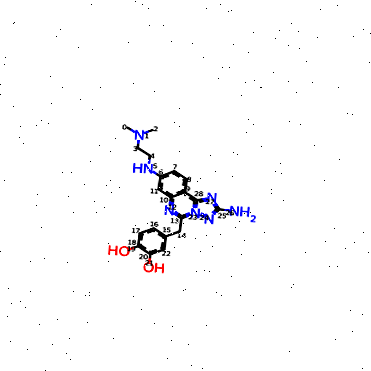 CN(C)CCNc1ccc2c(c1)nc(Cc1ccc(O)c(O)c1)n1nc(N)nc21